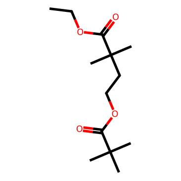 CCOC(=O)C(C)(C)CCOC(=O)C(C)(C)C